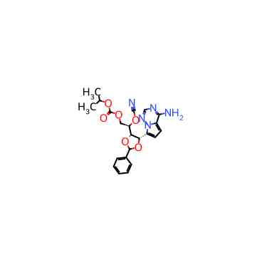 CC(C)OC(=O)OC[C@@H](OC#N)[C@H]1OC(c2ccccc2)O[C@H]1c1ccc2c(N)ncnn12